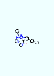 N#Cc1ccc(-c2ccc3nc(NNCc4ccccc4)cc(C(=O)N4CCC[C@H]4CN4CCCC4)c3c2)cc1